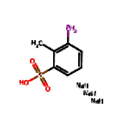 Cc1c(P)cccc1S(=O)(=O)O.[NaH].[NaH].[NaH]